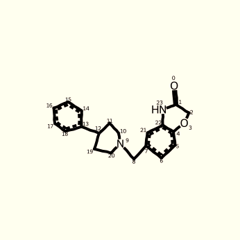 O=C1COc2ccc(CN3CCC(c4ccccc4)CC3)cc2N1